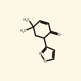 CC1(C)C=CC(=O)C(c2ccon2)C1